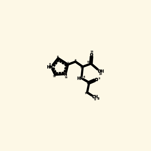 CCC(=O)NC(Cc1c[nH]cn1)C(=O)O